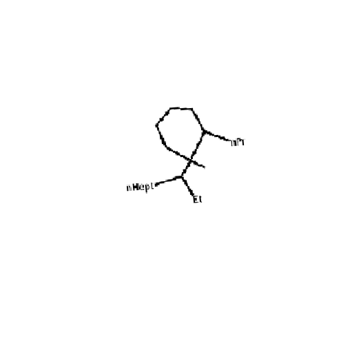 CCCCCCCC(CC)C1(C)CCCCC1CCC